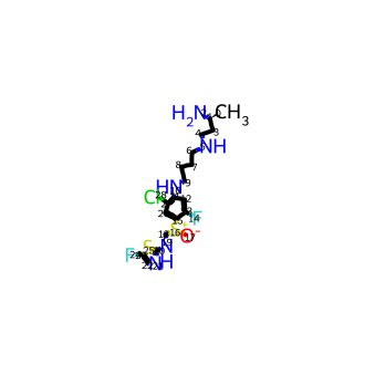 C[C@@H](N)CCNCCCCNc1cc(F)c([S+]([O-])CNc2ncc(F)s2)cc1Cl